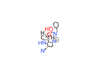 Cc1[nH]c2c(C#N)ccc(N3CCC[C@H](N(Cc4ccccc4)C(=O)O)C3)c2c1C